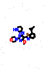 COc1nc(N2CCOCC2)nc(NC2CCCNC2)c1-c1nc2cccc(C3CC3C)c2s1